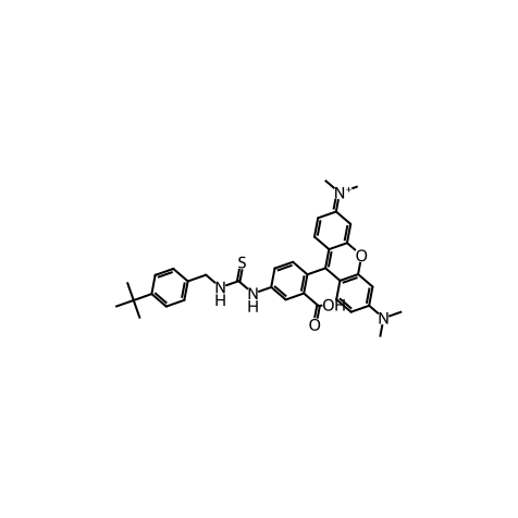 CN(C)c1ccc2c(-c3ccc(NC(=S)NCc4ccc(C(C)(C)C)cc4)cc3C(=O)O)c3ccc(=[N+](C)C)cc-3oc2c1